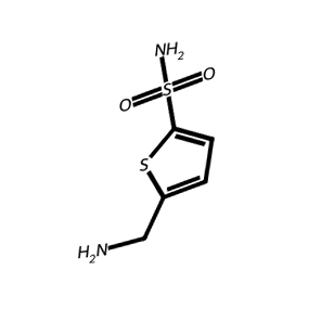 NCc1ccc(S(N)(=O)=O)s1